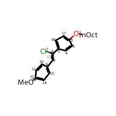 CCCCCCCCOc1ccc(/C(Cl)=C/c2ccc(OC)cc2)cc1